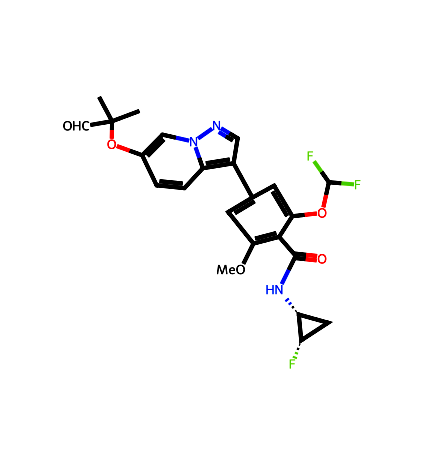 COc1cc(-c2cnn3cc(OC(C)(C)C=O)ccc23)cc(OC(F)F)c1C(=O)N[C@@H]1C[C@@H]1F